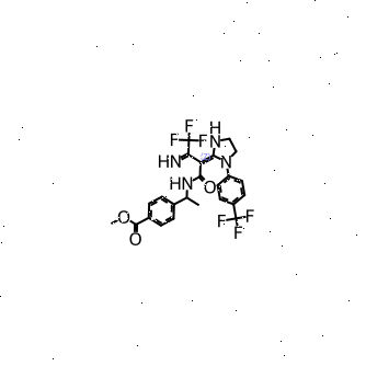 COC(=O)c1ccc(C(C)NC(=O)/C(C(=N)C(F)(F)F)=C2/NCCN2c2ccc(C(F)(F)F)cc2)cc1